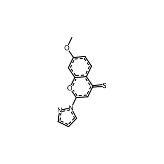 COc1ccc2c(=S)cc(-n3cccn3)oc2c1